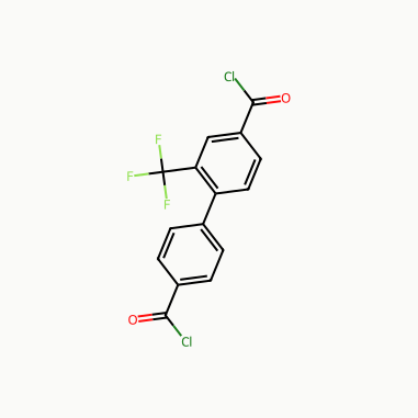 O=C(Cl)c1ccc(-c2ccc(C(=O)Cl)cc2C(F)(F)F)cc1